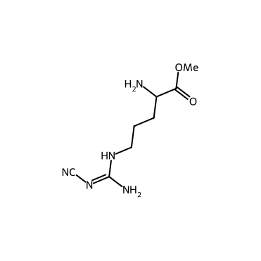 COC(=O)C(N)CCCN/C(N)=N\C#N